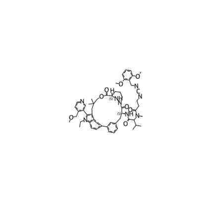 CCn1c(-c2cnccc2COC)c2c3cc(ccc31)-c1cccc(c1)C[C@H](NC(=O)C(C(C)C)N(C)C(=O)CCN=C=NCc1c(OC)cccc1OC)C(=O)N1CCC[C@H](N1)C(=O)OCC(C)(C)C2